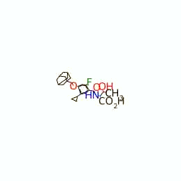 CC(O)C(NC(=O)c1cc(C2CC2)c(OCC23CC4CC(CC(C4)C2)C3)cc1F)C(=O)O